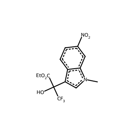 CCOC(=O)C(O)(c1cn(C)c2cc([N+](=O)[O-])ccc12)C(F)(F)F